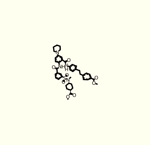 COC(=O)c1ccc(CCc2ccc(NC(=O)c3cc(N4CCCCC4)ccc3NC(=O)c3cccc(S(=O)(=O)N(C)[C@H]4CC[C@H](C(=O)OC)CC4)c3)cc2)cc1